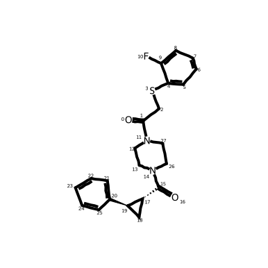 O=C(CSc1ccccc1F)N1CCN(C(=O)[C@@H]2C[C@H]2c2ccccc2)CC1